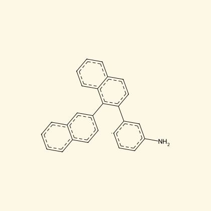 Nc1cc[c]c(-c2ccc3ccccc3c2-c2ccc3ccccc3c2)c1